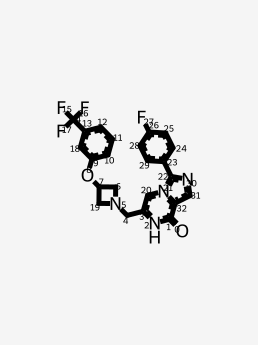 O=c1[nH]c(CN2CC(Oc3cccc(C(F)(F)F)c3)C2)cn2c(-c3ccc(F)cc3)ncc12